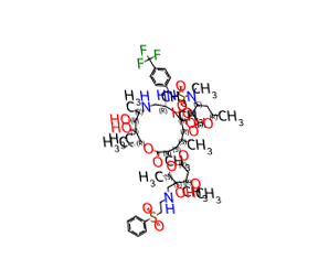 CC[C@H]1OC(=O)[C@H](C)[C@@H](O[C@H]2C[C@@](C)(OC)[C@](O)(CNCCS(=O)(=O)c3ccccc3)[C@H](C)O2)[C@H](C)[C@@H](O[C@@H]2O[C@H](C)C[C@H](N(C)S(=O)(=O)Nc3ccc(C(F)(F)F)cc3)[C@H]2O)[C@](C)(O)C[C@@H](C)CN[C@H](C)[C@@H](O)[C@]1(C)O